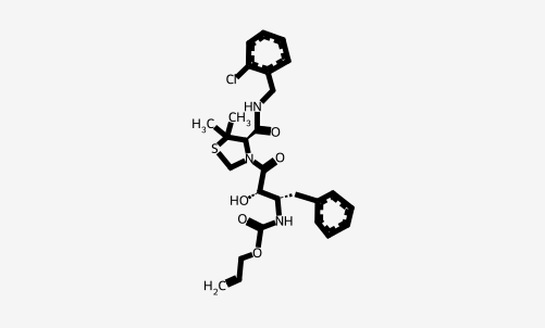 C=CCOC(=O)N[C@@H](Cc1ccccc1)[C@H](O)C(=O)N1CSC(C)(C)[C@H]1C(=O)NCc1ccccc1Cl